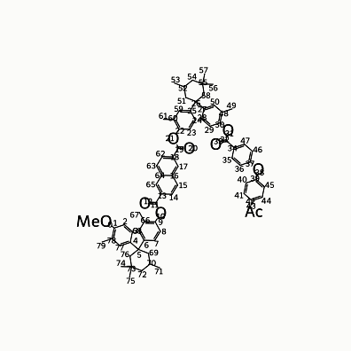 COc1ccc(C2(c3ccc(OC(=O)c4ccc5cc(C(=O)Oc6ccc(C7(c8ccc(OC(=O)c9ccc(Oc%10ccc(C(C)=O)cc%10)cc9)c(C)c8)CC(C)CC(C)(C)C7)cc6C)ccc5c4)c(C)c3)CC(C)CC(C)(C)C2)cc1C